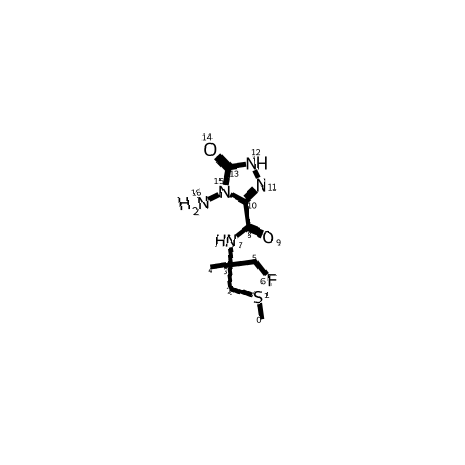 CSCC(C)(CF)NC(=O)c1n[nH]c(=O)n1N